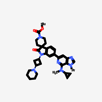 CC(C)n1cnc2cc(-c3ccc4c(c3)N([C@H]3C[C@@H](N5CCCCC5)C3)C(=O)C43CCN(C(=O)OC(C)(C)C)CC3)nc(N(C)C3CC3)c21